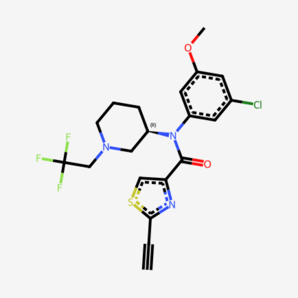 C#Cc1nc(C(=O)N(c2cc(Cl)cc(OC)c2)[C@@H]2CCCN(CC(F)(F)F)C2)cs1